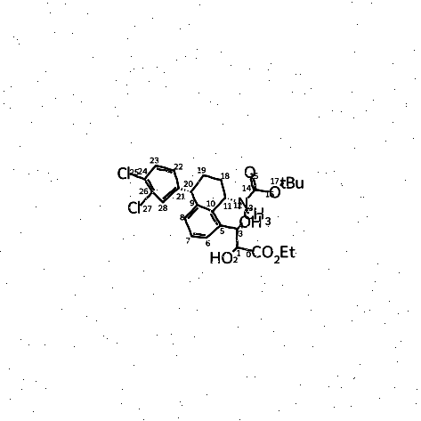 CCOC(=O)C(O)C(O)c1cccc2c1[C@@H](N(C)C(=O)OC(C)(C)C)CC[C@H]2c1ccc(Cl)c(Cl)c1